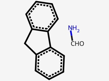 NC=O.c1ccc2c(c1)Cc1ccccc1-2